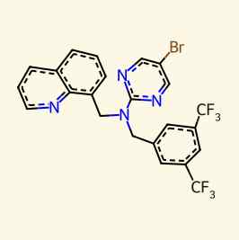 FC(F)(F)c1cc(CN(Cc2cccc3cccnc23)c2ncc(Br)cn2)cc(C(F)(F)F)c1